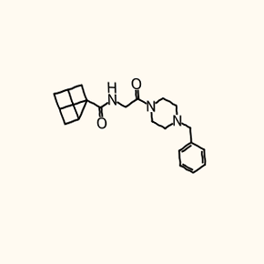 O=C(CNC(=O)C12CC3CC4CC1C432)N1CCN(Cc2ccccc2)CC1